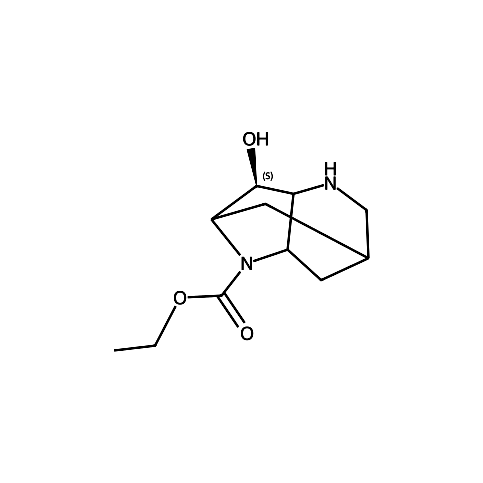 CCOC(=O)N1C2CC3CNC2[C@H](O)C1C3